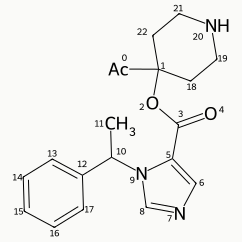 CC(=O)C1(OC(=O)c2cncn2C(C)c2ccccc2)CCNCC1